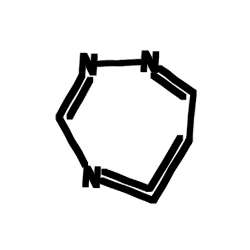 C1=CC=NN=CN=1